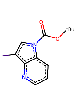 CC(C)(C)OC(=O)n1cc(I)c2ncccc21